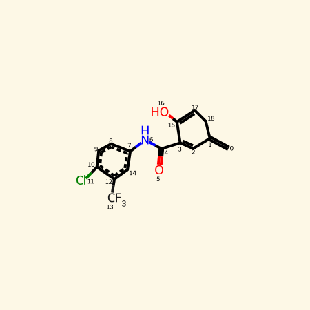 C=C1C=C(C(=O)Nc2ccc(Cl)c(C(F)(F)F)c2)C(O)=CC1